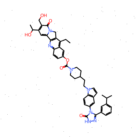 CCc1c2c(nc3ccc(OC(=O)N4CCC(CCn5ccc6cc(-n7c(-c8cccc(C(C)C)c8)n[nH]c7=O)ccc65)CC4)cc13)-c1cc(C(C)O)c(CO)c(=O)n1C2